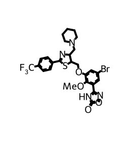 COc1c(OCC2SC(c3ccc(C(F)(F)F)cc3)=NC2CN2CCCCC2)cc(Br)cc1-c1noc(=O)[nH]1